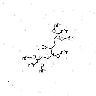 CCCON(CC[PH](CCC)(OCCC)OCCC)C(CC)CC[PH](CCC)(OCCC)OCCC